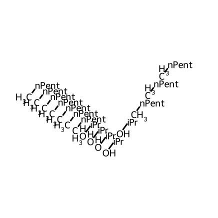 CC(C)O.CC(C)O.CC(C)O.CC(C)O.CC(C)O.CCCCCC.CCCCCC.CCCCCC.CCCCCC.CCCCCC.CCCCCC.CCCCCC.CCCCCC.CCCCCC.CCCCCC